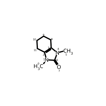 Cn1c2c(n(C)c1=O)CCCC2